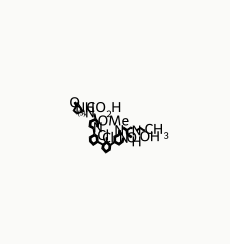 COc1nc(-c2cccc(-c3cccc(-c4ccn5c(=O)c(CNCC(C)O)cnc5c4)c3Cl)c2Cl)ccc1CN(C[C@@H]1CCC(=O)N1)C(=O)O